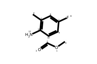 COC=O.Cc1cc(F)ccc1N